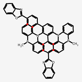 CN1c2ccccc2N(c2ccc(-c3ccc(-c4nc5ccccc5o4)cc3)c(N3c4ccccc4N(C)c4ccccc43)c2-c2ccc(-c3nc4ccccc4o3)cc2)c2ccccc21